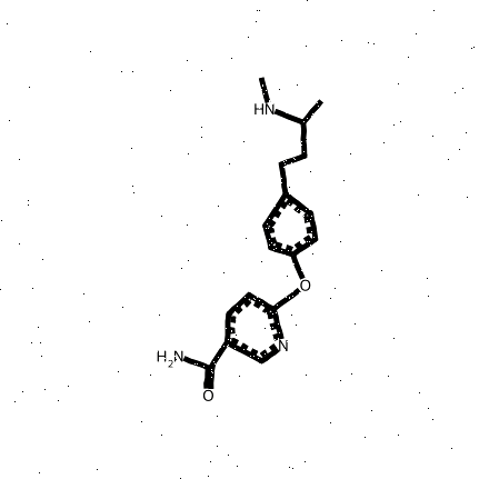 CNC(C)CCc1ccc(Oc2ccc(C(N)=O)cn2)cc1